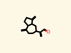 C=C(C=O)C1CCC(=C)C2CCC(=C)C2C1